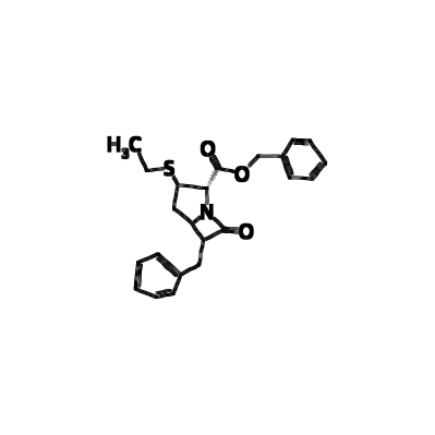 CCSC1CC2C(Cc3ccccc3)C(=O)N2[C@H]1C(=O)OCc1ccccc1